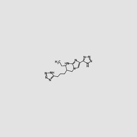 CCC1Nc2nc(-c3nnn[nH]3)cn2CC1CCCc1nnn[nH]1